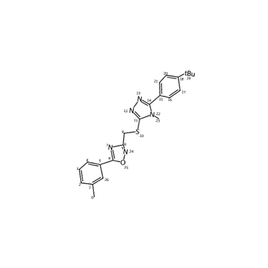 Cc1cccc(-c2nc(CSc3nnc(-c4ccc(C(C)(C)C)cc4)n3C)no2)c1